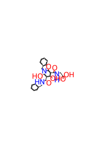 O=C(O)CNC(=O)c1c(O)c(C(=O)NCc2ccccc2)c(O)n(Cc2ccccc2)c1=O